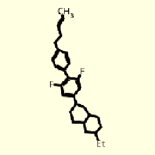 CC=CCCc1ccc(-c2c(F)cc(C3CCC4CC(CC)CCC4C3)cc2F)cc1